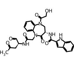 CC(=O)C[C@@H](C=O)NC(=O)CN1C(=O)[C@@H](NC(=O)c2cc3ccccc3[nH]2)CN(C(=O)CO)c2ccccc21